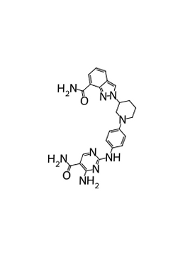 NC(=O)c1cnc(Nc2ccc(N3CCCC(n4cc5cccc(C(N)=O)c5n4)C3)cc2)nc1N